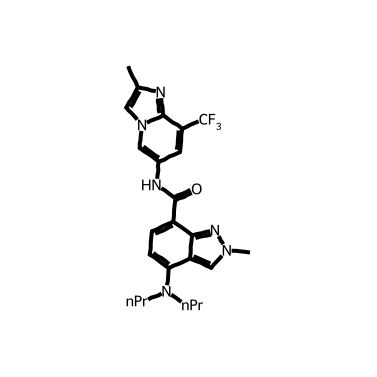 CCCN(CCC)c1ccc(C(=O)Nc2cc(C(F)(F)F)c3nc(C)cn3c2)c2nn(C)cc12